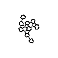 c1ccc(-c2cccc([Si]3(c4ccccc4)c4ccccc4-n4c5ccc(-c6ccccc6)cc5c5cc(-n6c7ccccc7c7ccccc76)cc3c54)c2)cc1